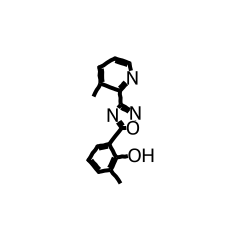 Cc1cccnc1-c1noc(-c2cccc(C)c2O)n1